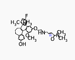 COc1cc(OCCNC/C=C/C(=O)N(C)C)cc(OC)c1C1=C(c2ccc(F)cc2C)CCCc2cc(O)ccc21